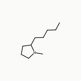 CCCCCC1CCCN1C